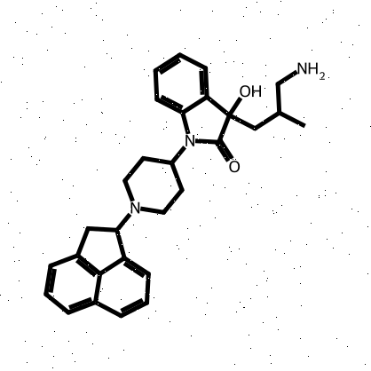 CC(CN)CC1(O)C(=O)N(C2CCN(C3Cc4cccc5cccc3c45)CC2)c2ccccc21